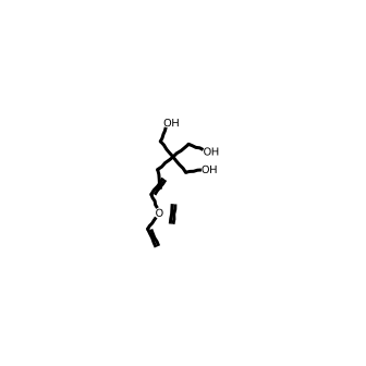 C=C.C=COC=C.CCC(CO)(CO)CO